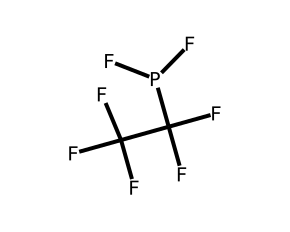 FP(F)C(F)(F)C(F)(F)F